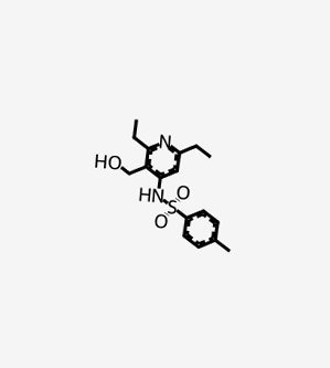 CCc1cc(NS(=O)(=O)c2ccc(C)cc2)c(CO)c(CC)n1